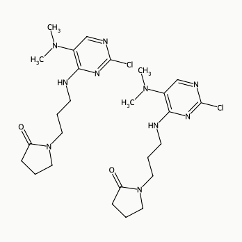 CN(C)c1cnc(Cl)nc1NCCCN1CCCC1=O.CN(C)c1cnc(Cl)nc1NCCCN1CCCC1=O